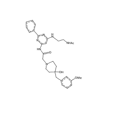 COc1cccc(CC2(O)CCN(CC(=O)Nc3cc(NCCNC(C)=O)nc(-c4ccccc4)n3)CC2)c1